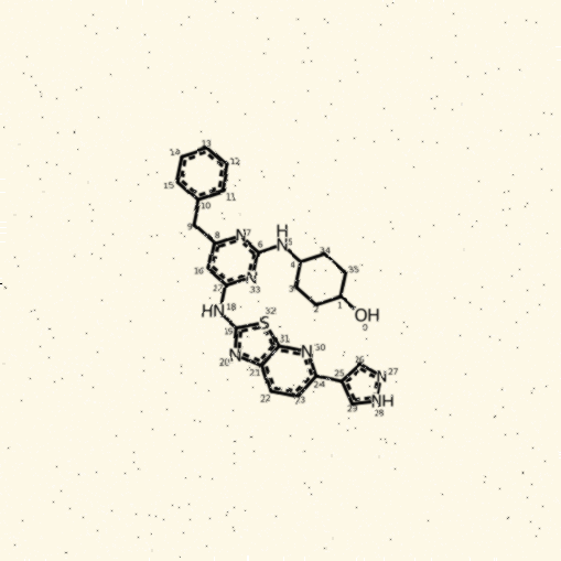 OC1CCC(Nc2nc(Cc3ccccc3)cc(Nc3nc4ccc(-c5cn[nH]c5)nc4s3)n2)CC1